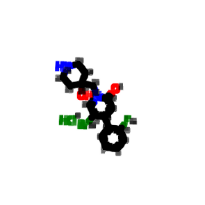 Cl.O=c1cc(-c2ccccc2F)c(Br)cn1CC1(O)CCNCC1